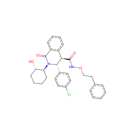 O=C(NOCCc1ccccc1)[C@@H]1c2ccccc2C(=O)N([C@H]2CCCC[C@@H]2O)[C@H]1c1ccc(Cl)cc1